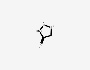 S=C1CSON1